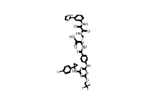 O=C(NC[C@H](NC(=O)c1ccc(Nc2nc(NC3(c4ccc(Cl)cc4)CC3)nc(OCC(F)(F)F)n2)cc1)C(=O)O)C(=O)Nc1cccc(-c2ncc[nH]2)c1